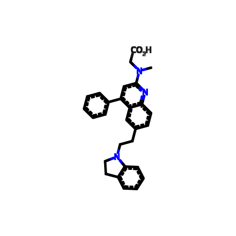 CN(CC(=O)O)c1cc(-c2ccccc2)c2cc(CCN3CCc4ccccc43)ccc2n1